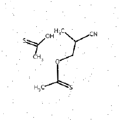 CC(=S)OCC(C)C#N.CC(O)=S